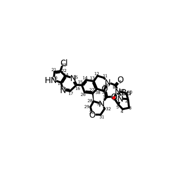 CN1C2CCC1CN(C(=O)N1CCc3cc(-c4cnc5[nH]cc(Cl)c5n4)cc([C@@H]4COCCN4C(=O)OC(C)(C)C)c3C1)C2